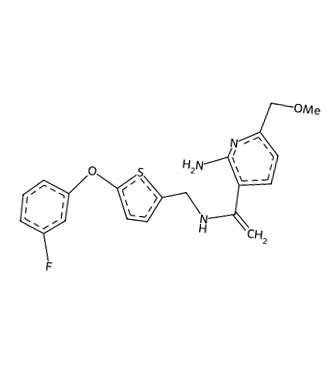 C=C(NCc1ccc(Oc2cccc(F)c2)s1)c1ccc(COC)nc1N